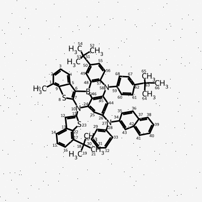 Cc1cccc2c3c(sc12)N(c1cc2cccc(C(C)(C)C)c2s1)c1cc(N(c2ccccc2)c2ccc4ccccc4c2)cc2c1B3c1cc(C(C)(C)C)ccc1N2c1ccc(C(C)(C)C)cc1